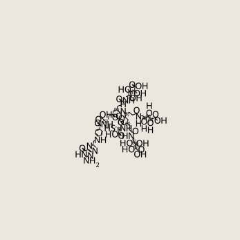 Nc1nc2ncc(CNc3ccc(C(=O)N[C@@H](CCC(=O)C[C@@H](CCC(=O)NC[C@H](O)[C@@H](O)[C@H](O)C(=O)O)C(=O)N[C@@H](CCC(=O)NC[C@H](O)[C@@H](O)[C@H](O)C(=O)O)C(=O)C[C@@H](CCC(=O)NC[C@H](O)[C@@H](O)[C@H](O)C(=O)O)C(=O)N[C@@H](CS)C(=O)O)C(=O)O)cc3)nc2c(=O)[nH]1